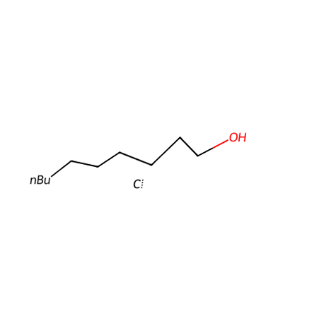 CCCCCCCCCCO.[C]